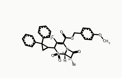 COc1ccc(COC(=O)C2=C(C)C(C3CC3(c3ccccc3)c3ccccc3)S(=O)(=O)[C@H]3[C@@H](Br)C(=O)N23)cc1